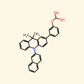 CC1(C)c2ccccc2N(c2ccc3ccccc3c2)c2ccc(-c3cccc(OB(O)O)c3)cc21